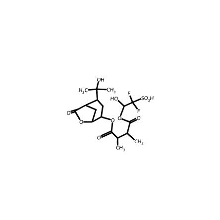 CC(C(=O)OC1CC(C(C)(C)O)C2CC1OC2=O)C(C)C(=O)OC(O)C(F)(F)S(=O)(=O)O